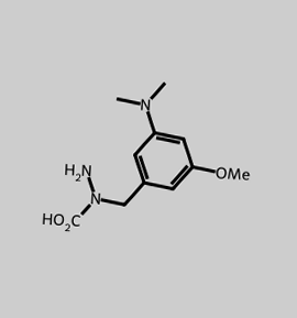 COc1cc(CN(N)C(=O)O)cc(N(C)C)c1